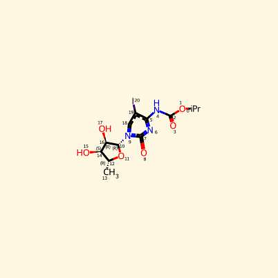 CC(C)OC(=O)Nc1nc(=O)n([C@@H]2O[C@H](C)[C@@H](O)[C@H]2O)cc1I